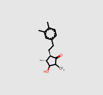 Cc1ccc(CC[C@H]2C(=O)C(C(F)(F)F)C(O)[C@@H]2C)cc1C